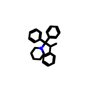 CC(c1ccccc1)C(c1ccccc1)(c1ccccc1)N1CCCCC1